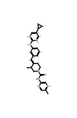 Cc1cnc(NC(=O)N2CCC(=Cc3cccc(Oc4ncc(C5CC5)cn4)c3)C(C)C2)cn1